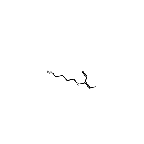 C=C/C(=C\C)OCCCCN